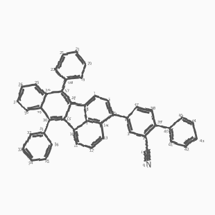 N#Cc1cc(-c2ccc3c4c(cccc24)-c2c-3c(-c3ccccc3)c3ccccc3c2-c2ccccc2)ccc1-c1ccccc1